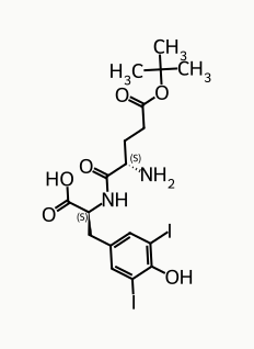 CC(C)(C)OC(=O)CC[C@H](N)C(=O)N[C@@H](Cc1cc(I)c(O)c(I)c1)C(=O)O